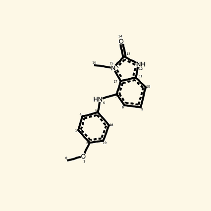 COc1ccc(Nc2cccc3[nH]c(=O)n(C)c23)cc1